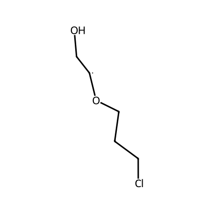 OC[CH]OCCCCl